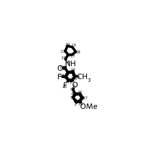 COc1ccc(COc2c(C)cc(C(=O)NCC3CCCCC3)c(F)c2F)cc1